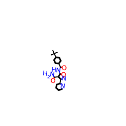 CC(C)(C)c1ccc(C(=O)Nc2onc(-c3ccccn3)c2C(N)=O)cc1